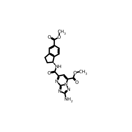 COC(=O)c1ccc2c(c1)CC[C@@H]2NC(=O)c1cc(C(=O)OC)n2nc(N)nc2n1